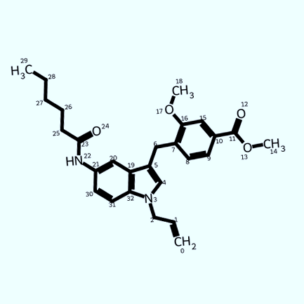 C=CCn1cc(Cc2ccc(C(=O)OC)cc2OC)c2cc(NC(=O)CCCCC)ccc21